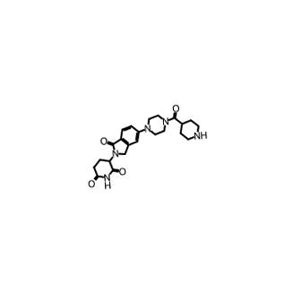 O=C1CCC(N2Cc3cc(N4CCN(C(=O)C5CCNCC5)CC4)ccc3C2=O)C(=O)N1